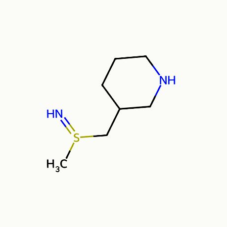 CS(=N)CC1CCCNC1